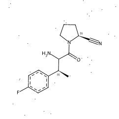 C[C@@H](c1ccc(F)cc1)C(N)C(=O)N1CCC[C@H]1C#N